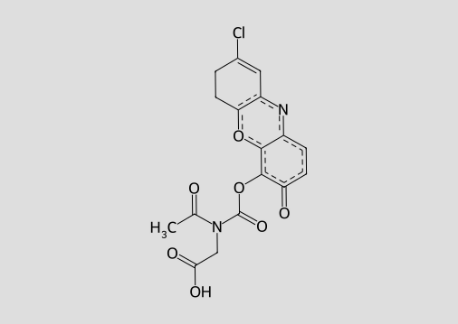 CC(=O)N(CC(=O)O)C(=O)Oc1c2oc3c(nc-2ccc1=O)C=C(Cl)CC3